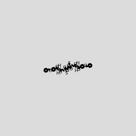 O=C(CCN1C(=O)/C(=C2\SC(=S)N(CCC(=O)NNC(=O)c3ccc(OCc4ccccc4)cc3)C2=O)SC1=S)NNC(=O)c1ccc(OCc2ccccc2)cc1